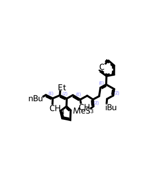 CCCC/C=C(C)/C(CC)=C(/C=C(\C)C/C(=C\SC)C/C=C(\C=C/CC(C)CC)c1ccccc1)C1=CC=C=C1